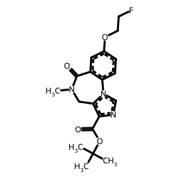 CN1Cc2c(C(=O)OC(C)(C)C)ncn2-c2ccc(OCCF)cc2C1=O